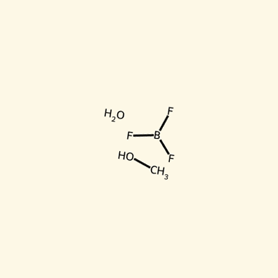 CO.FB(F)F.O